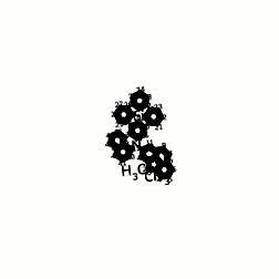 CC1(C)c2cccc3ccc4cc(N(c5ccc([Si](c6ccccc6)(c6ccccc6)c6ccccc6)cc5)c5cccc6ccccc56)cc1c4c23